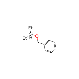 CC[SiH](CC)OCc1ccccc1